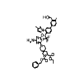 CCOC(=O)C1CC2(CCN(c3cc(O[C@H](c4ccc(-c5ccc(C)c(CO)c5)cc4-n4ccc(C)n4)C(F)(F)F)nc(N)n3)CC2)CN1C(=O)OCc1ccccc1